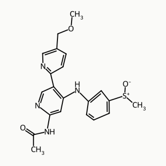 COCc1ccc(-c2cnc(NC(C)=O)cc2Nc2cccc([S+](C)[O-])c2)nc1